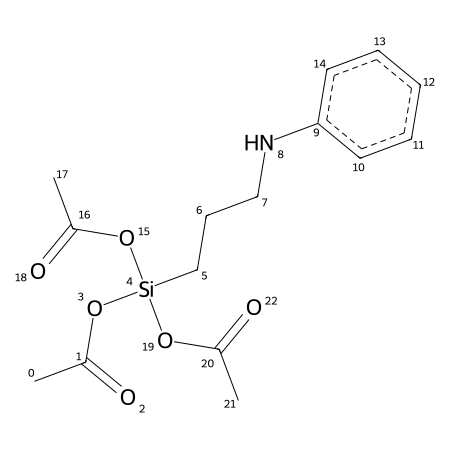 CC(=O)O[Si](CCCNc1ccccc1)(OC(C)=O)OC(C)=O